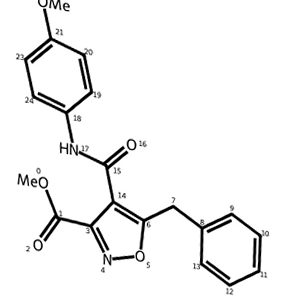 COC(=O)c1noc(Cc2ccccc2)c1C(=O)Nc1ccc(OC)cc1